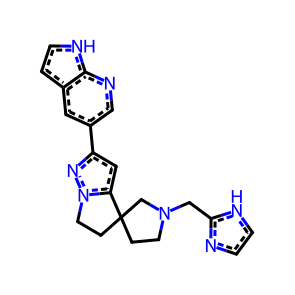 c1c[nH]c(CN2CCC3(CCn4nc(-c5cnc6[nH]ccc6c5)cc43)C2)n1